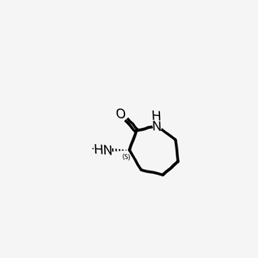 [NH][C@H]1CCCCNC1=O